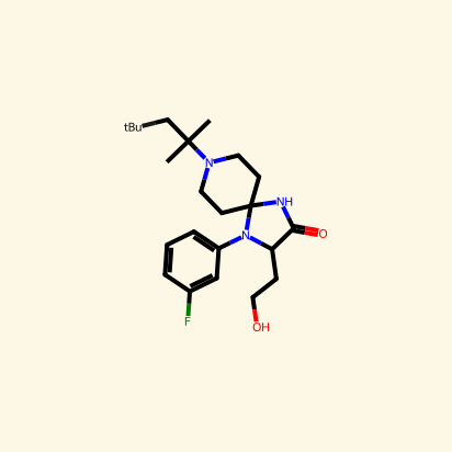 CC(C)(C)CC(C)(C)N1CCC2(CC1)NC(=O)C(CCO)N2c1cccc(F)c1